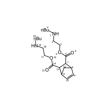 CCCCNCCOC(=O)C1C2C=CC(C2)C1C(=O)OCCNCCCC